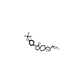 C=CCC[C@]1(O)CC[C@]2(CCN(c3ccc(OC(F)(F)F)cc3)C2=O)CC1